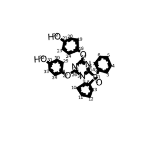 O=P(c1ccccc1)(c1ccccc1)c1nc(Oc2ccc(O)cc2)nc(Oc2ccc(O)cc2)n1